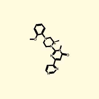 COc1ccccc1N1CCN(c2nc(-c3ccncn3)cc(=O)n2C)[C@H](C)C1